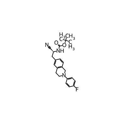 CC(C)(C)OC(=O)N[C@H](C#N)Cc1ccc2c(c1)CCN(c1ccc(F)cc1)C2